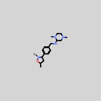 CCN1OC(C)CC1c1ccc(CNC2CN(C)CCN2C)cc1